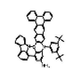 CC(C)(C)c1cc(N2c3cc4cc5c6ccccc6c6ccccc6c5cc4cc3B3c4c(cc(N)cc42)-c2cccc4c5ccccc5n3c24)cc(C(C)(C)C)c1